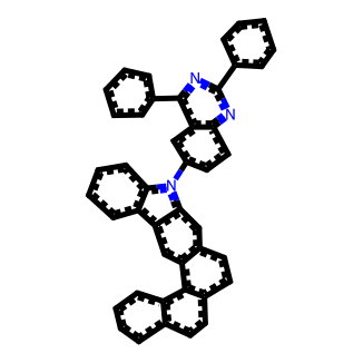 c1ccc(-c2nc(-c3ccccc3)c3cc(-n4c5ccccc5c5cc6c(ccc7ccc8ccccc8c76)cc54)ccc3n2)cc1